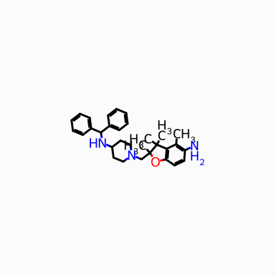 Cc1c(N)ccc2c1C(C)(C)C(C)(CN1CCC(NC(c3ccccc3)c3ccccc3)CC1)O2